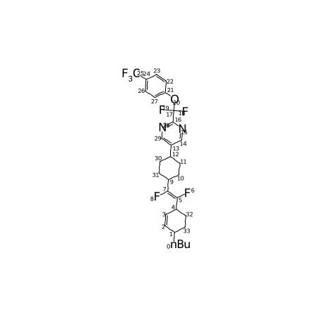 CCCCC1C=CC(/C(F)=C(\F)C2CCC(c3cnc(C(F)(F)Oc4ccc(C(F)(F)F)cc4)nc3)CC2)CC1